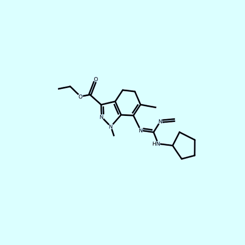 C=N/C(=N\C1=C(C)CCc2c(C(=O)OCC)nn(C)c21)NC1CCCC1